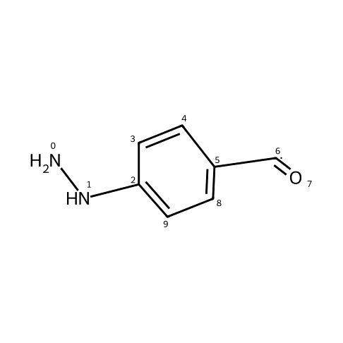 NNc1ccc([C]=O)cc1